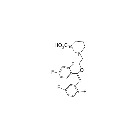 O=C(O)[C@@H]1CCCN(CCOC(=Cc2cc(F)ccc2F)c2ccc(F)cc2F)C1